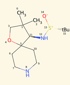 CC1(C)COC2(CCNCC2)[C@@H]1N[S@+]([O-])C(C)(C)C